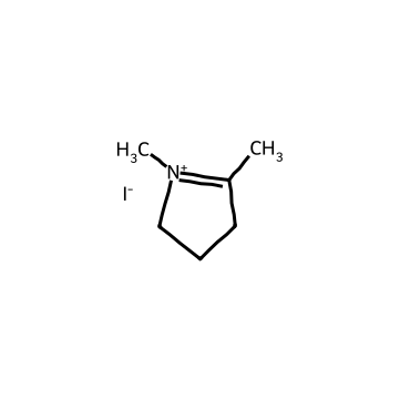 CC1=[N+](C)CCC1.[I-]